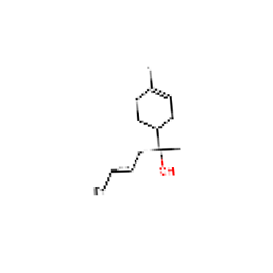 CC1=CCC(C(C)(O)C/C=C/C(C)C)CC1